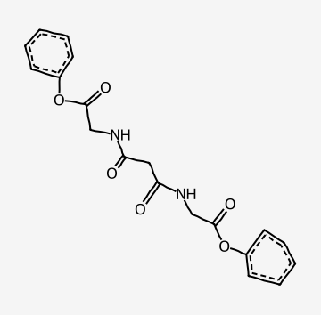 O=C(CC(=O)NCC(=O)Oc1ccccc1)NCC(=O)Oc1ccccc1